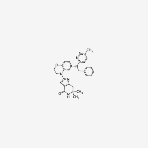 Cc1ccc(N(Cc2ccccc2)c2ccc3c(c2)N(c2nc4c(s2)C(=O)NC(C)(C)C4)CCO3)nn1